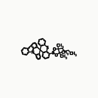 CCCCC1(C)OB(c2cccc3c2Sc2ccccc2C32c3ccccc3-n3c4ccccc4c4cccc2c43)OC1(C)C